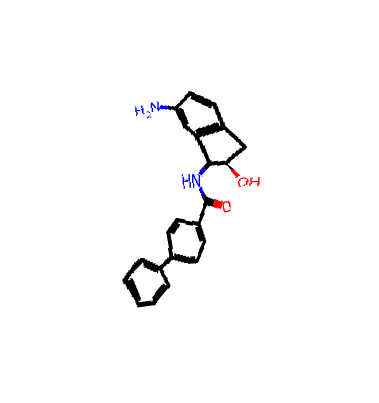 Nc1ccc2c(c1)C(NC(=O)c1ccc(-c3ccccc3)cc1)[C@H](O)C2